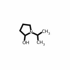 CC(C)N1CCCC1O